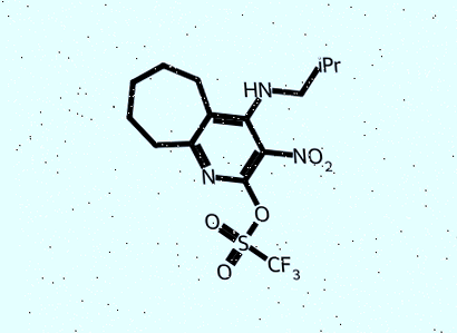 CC(C)CNc1c2c(nc(OS(=O)(=O)C(F)(F)F)c1[N+](=O)[O-])CCCCC2